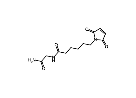 NC(=O)CNC(=O)CCCCCN1C(=O)C=CC1=O